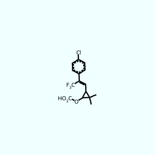 CC1(C)C(C=C(c2ccc(Cl)cc2)C(F)(F)F)C1OC(=O)O